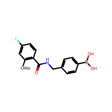 COc1cc(F)ccc1C(=O)NCc1ccc(B(O)O)cc1